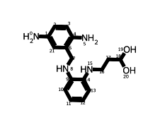 Nc1ccc(N)c(CNc2ccccc2NCCC(O)O)c1